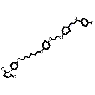 O=C(/C=C/c1ccc(OCCOc2ccc(OCCCCCCOc3ccc(N4C(=O)C=CC4=O)cc3)cc2)cc1)c1ccc(F)cc1